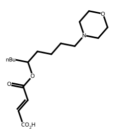 CCCCC(CCCCN1CCOCC1)OC(=O)C=CC(=O)O